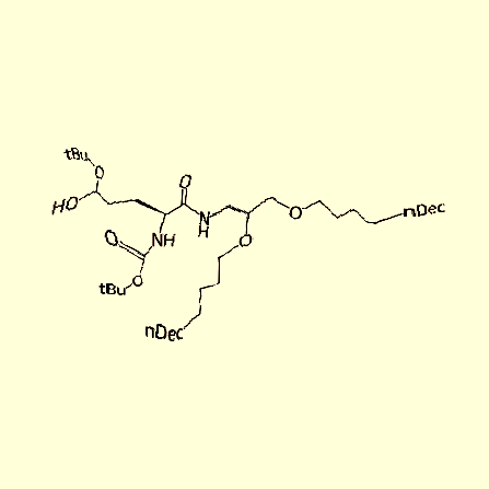 CCCCCCCCCCCCCCOCC(CNC(=O)[C@H](CCC(O)OC(C)(C)C)NC(=O)OC(C)(C)C)OCCCCCCCCCCCCCC